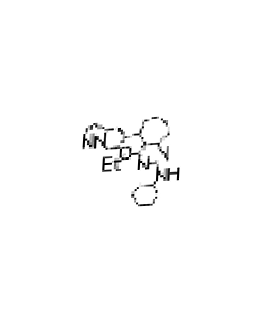 CCOc1nc(NC2CCCCC2)nc2c1C(c1ccn3nccc3c1)=CCCC2